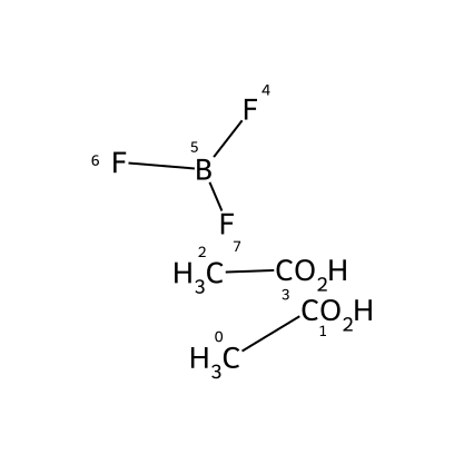 CC(=O)O.CC(=O)O.FB(F)F